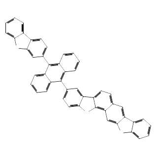 c1ccc2c(c1)sc1cc(-c3c4ccccc4c(-c4ccc5sc6c7cc8sc9ccccc9c8cc7ccc6c5c4)c4ccccc34)ccc12